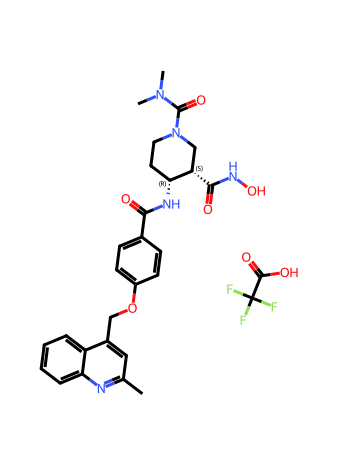 Cc1cc(COc2ccc(C(=O)N[C@@H]3CCN(C(=O)N(C)C)C[C@@H]3C(=O)NO)cc2)c2ccccc2n1.O=C(O)C(F)(F)F